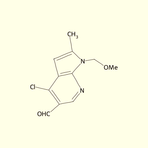 COCn1c(C)cc2c(Cl)c(C=O)cnc21